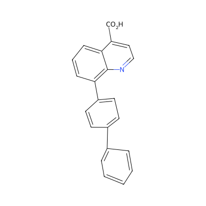 O=C(O)c1ccnc2c(-c3ccc(-c4ccccc4)cc3)cccc12